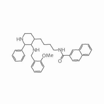 COc1ccccc1CNC1C(CCCCNC(=O)c2ccc3ccccc3c2)CCNC1c1ccccc1